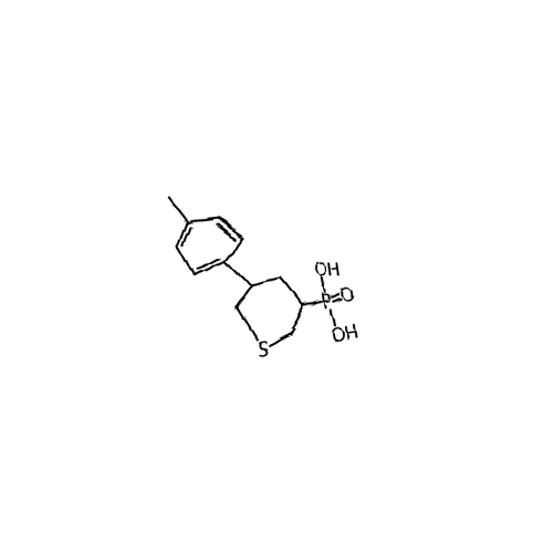 Cc1ccc(C2CSCC(P(=O)(O)O)C2)cc1